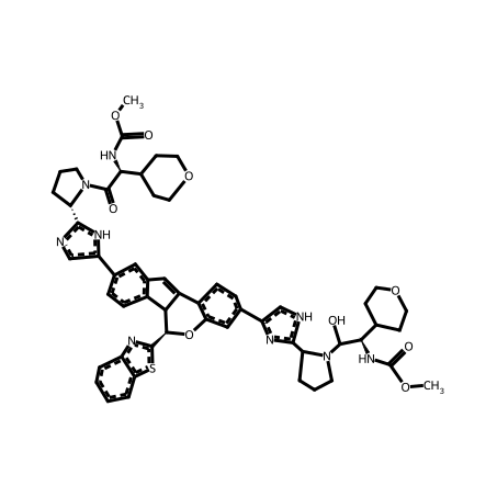 COC(=O)N[C@H](C1CCOCC1)C(O)N1CCCC1c1nc(-c2ccc3c(c2)O[C@@H](c2nc4ccccc4s2)C2C3=Cc3cc(-c4cnc([C@@H]5CCCN5C(=O)[C@@H](NC(=O)OC)C5CCOCC5)[nH]4)ccc32)c[nH]1